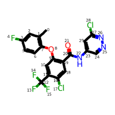 Cc1cc(F)ccc1Oc1cc(C(F)(F)F)c(Cl)cc1C(=O)Nc1cnnc(Cl)c1